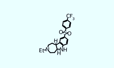 CCN1CC[C@@H]2Nc3ccc(S(=O)(=O)c4ccc(C(F)(F)F)cc4)cc3[C@H]2CC1